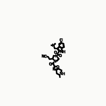 CC1Cc2nc(C(=O)N3CCN(S(=O)(=O)c4[nH]c5ccc(Cl)cc5c4CN(C)C)CC3CCC#N)oc2CN1